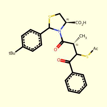 CC(=O)SC(C(=O)c1ccccc1)[C@@H](C)C(=O)N1C(c2ccc(C(C)(C)C)cc2)SC[C@H]1C(=O)O